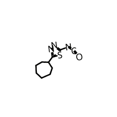 O=C=Nc1nnc(C2CCCCCC2)s1